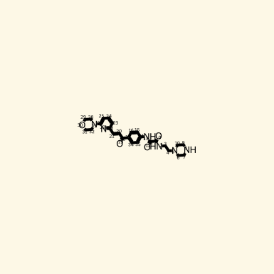 O=C(NCCN1CCNCC1)C(=O)Nc1ccc(C(=O)/C=C/c2cccc(N3CCOCC3)n2)cc1